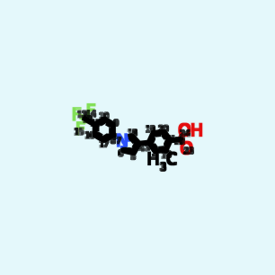 Cc1cc(-c2ccn(-c3ccc(C(F)(F)F)cc3)c2)ccc1C(=O)O